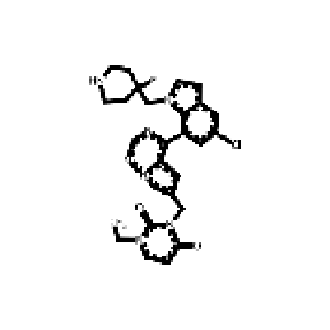 O=c1ccn(CC(F)(F)F)c(=O)n1Cc1cc2c(-c3cc(Cl)cc4ccn(CC5(F)CCNCC5)c34)ncnn2c1